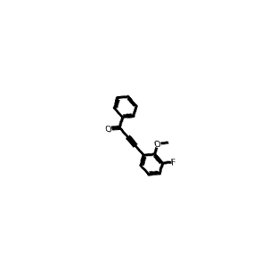 COc1c(F)cccc1C#CC(=O)c1ccccc1